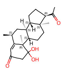 CC(=O)[C@@H]1CC[C@H]2[C@@H]3C[C@H](C)C4=CC(=O)CC(O)(O)[C@]4(C)[C@H]3CC[C@]12C